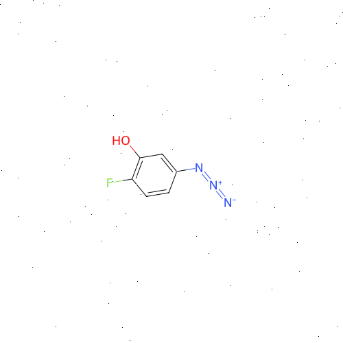 [N-]=[N+]=Nc1ccc(F)c(O)c1